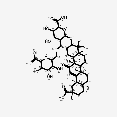 CC1(C)C(OC2OC(C(=O)O)C(O)[C@@H](O)C2COCC2OC(C(=O)O)C(O)[C@@H](O)C2O)CC[C@]2(C)[C@H]3C(=O)C=C4[C@@H]5C[C@@](C)(C(=O)O)CC[C@]5(C)CC[C@@]4(C)[C@]3(C)CC[C@@H]12